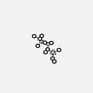 c1ccc(-c2nc(-c3ccc4ccccc4c3)nc(-c3cc(-n4c5ccccc5c5cc6c7c8ccccc8c(-c8ccccc8)cc7n(-c7ccccc7)c6cc54)cc4ccccc34)n2)cc1